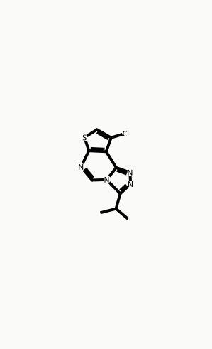 CC(C)c1nnc2c3c(Cl)csc3ncn12